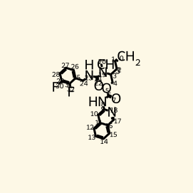 C=CCC(COC(=O)Nc1cc2ccccc2cn1)N(C)C(=O)NCc1cccc(F)c1F